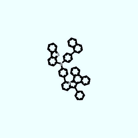 c1ccc(-c2c3c4ccccc4c4ccccc4c3n3c(-c4ccc(N(c5ccc(-c6cccc7ccccc67)cc5)c5cccc6c5sc5ccccc56)cc4)cccc23)cc1